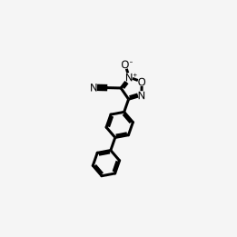 N#Cc1c(-c2ccc(-c3ccccc3)cc2)no[n+]1[O-]